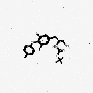 Cc1ccc(Oc2c(I)cc(C[C@@H](CN)NC(=O)OC(C)(C)C)cc2I)cc1